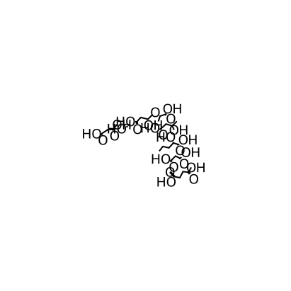 CC(=O)C(=O)O.CC(O)CC(=O)O.CC(O)CC(=O)O.CCCC(O)C(=O)O.CO.O=C(O)CC(=O)O.O=C(O)CC(=O)O.O=C(O)CCC(=O)O